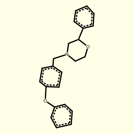 c1ccc(Oc2ccc(CN3CCOC(c4ccccc4)C3)cc2)cc1